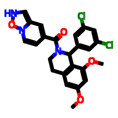 COc1cc2c(c(OC)c1)C(c1cc(Cl)cc(Cl)c1)N(C(=O)C1=CC3=CNON3C=C1)CC2